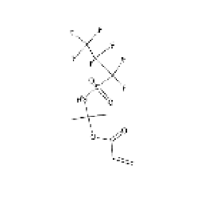 C=CC(=O)OC(C)(C)NS(=O)(=O)C(F)(F)C(F)(F)C(F)(F)F